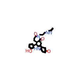 C=CCNCCCN1C(=O)CCC2C(c3cccc(O)c3)c3[nH]c4ccc(OC)cc4c3C[C@@]2(C)C1=O